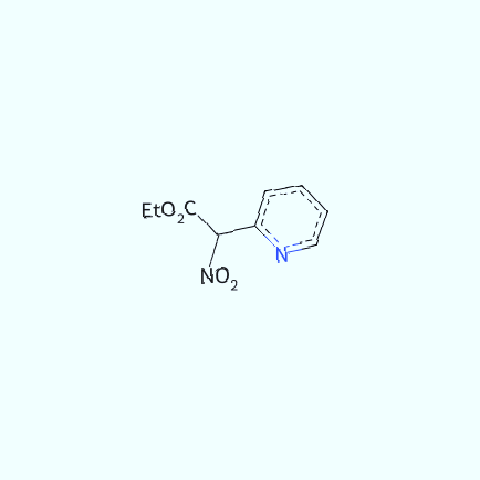 CCOC(=O)C(c1ccccn1)[N+](=O)[O-]